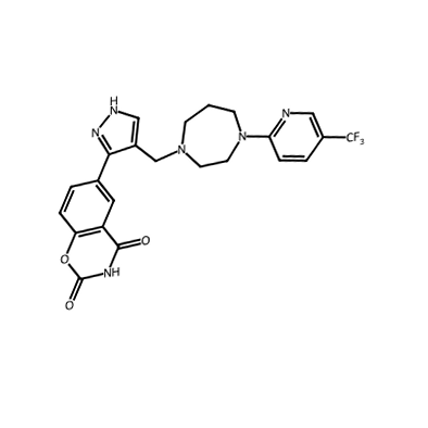 O=c1[nH]c(=O)c2cc(-c3n[nH]cc3CN3CCCN(c4ccc(C(F)(F)F)cn4)CC3)ccc2o1